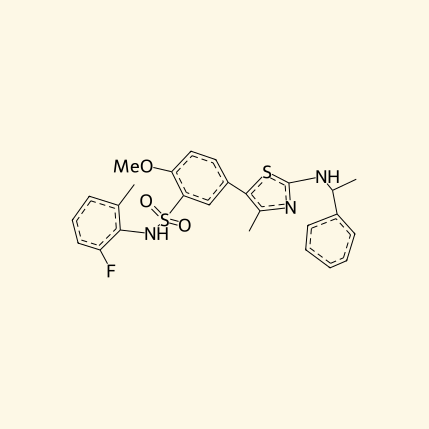 COc1ccc(-c2sc(NC(C)c3ccccc3)nc2C)cc1S(=O)(=O)Nc1c(C)cccc1F